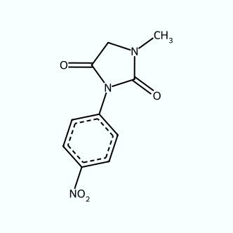 CN1CC(=O)N(c2ccc([N+](=O)[O-])cc2)C1=O